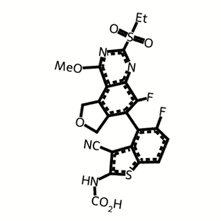 CCS(=O)(=O)c1nc(OC)c2c3c(c(-c4c(F)ccc5sc(NC(=O)O)c(C#N)c45)c(F)c2n1)COC3